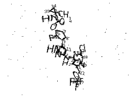 CC1(NC(=O)O[C@H]2CC[C@@H](c3cc(Nc4nc(Cl)cn5nc(COC(F)(F)F)cc45)n[nH]3)[C@H]2F)CC1